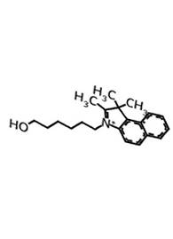 CC1=[N+](CCCCCCO)c2ccc3ccccc3c2C1(C)C